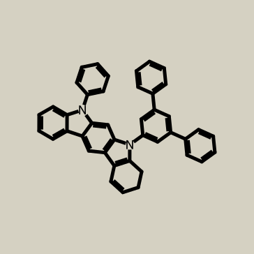 C1=Cc2c(n(-c3cc(-c4ccccc4)cc(-c4ccccc4)c3)c3cc4c(cc23)c2ccccc2n4-c2ccccc2)CC1